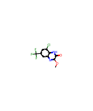 COc1nc2cc(C(F)(F)F)cc(Cl)c2[nH]c1=O